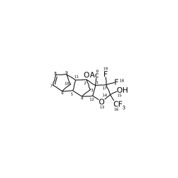 CC(=O)OC12C3CC(C4C5C=CC(C5)C43)C1OC(O)(C(F)(F)F)C2(F)F